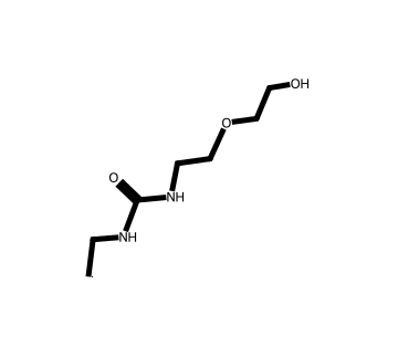 [CH2]CNC(=O)NCCOCCO